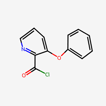 O=C(Cl)c1ncccc1Oc1ccccc1